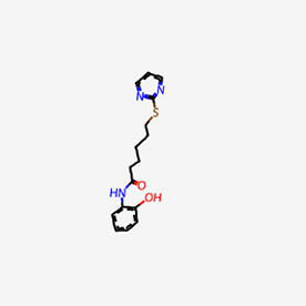 O=C(CCCCCSc1ncccn1)Nc1ccccc1O